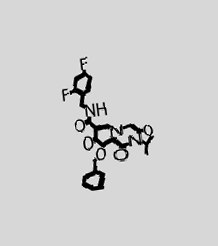 CC1COC2Cn3cc(C(=O)NCc4ccc(F)cc4F)c(=O)c(OCc4ccccc4)c3C(=O)N12